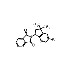 CC1(C)CC(N2C(=O)c3ccccc3C2=O)c2ncc(Br)cc21